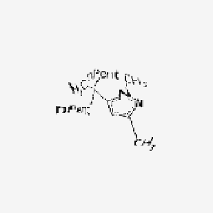 CCCCCC(C)(CCCCC)c1cc(C)nn1C